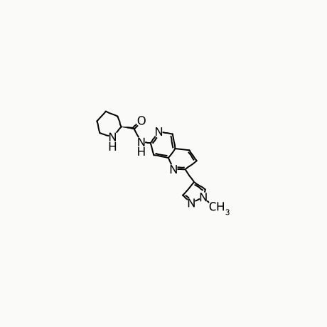 Cn1cc(-c2ccc3cnc(NC(=O)[C@@H]4CCCCN4)cc3n2)cn1